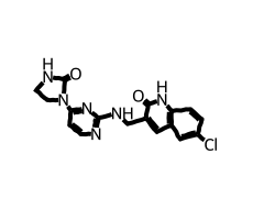 O=C1NCCN1c1ccnc(NCc2cc3cc(Cl)ccc3[nH]c2=O)n1